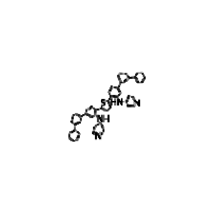 c1ccc(-c2cccc(-c3ccc(-c4ccc(-c5ccc(-c6cccc(-c7ccccc7)c6)cc5Nc5ccncc5)s4)c(Nc4ccncc4)c3)c2)cc1